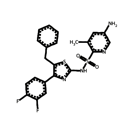 Cc1cc(N)cnc1S(=O)(=O)Nc1nc(-c2ccc(F)c(F)c2)c(Cc2ccccc2)s1